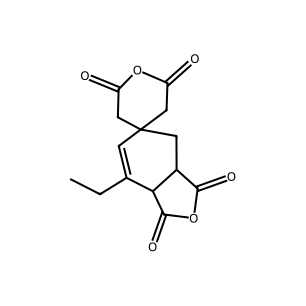 CCC1=CC2(CC(=O)OC(=O)C2)CC2C(=O)OC(=O)C12